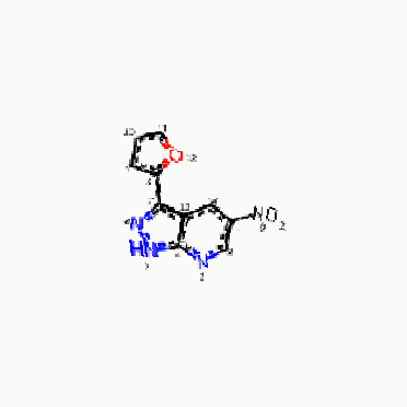 O=[N+]([O-])c1cnc2[nH]nc(-c3ccco3)c2c1